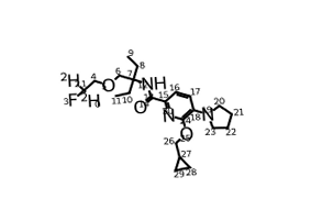 [2H]C([2H])(F)COCC(CC)(CC)NC(=O)c1ccc(N2CCCC2)c(OCC2CC2)n1